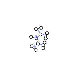 c1ccc(-c2cc(-c3cc(-n4c5ccccc5c5ccccc54)cc(-n4c5ccccc5c5ccccc54)c3)nc(-c3cc(-n4c5ccccc5c5ccccc54)cc(-n4c5ccccc5c5ccccc54)c3)n2)cc1